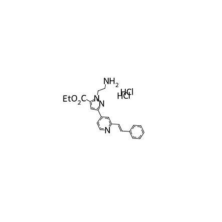 CCOC(=O)c1cc(-c2ccnc(C=Cc3ccccc3)c2)nn1CCN.Cl.Cl